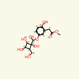 COC(=O)Cc1cc(OC(O)C2(O)C(O)C(O)C2CO)ccc1O